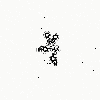 O=C1O[C@H]([C@H](CO)OP(=O)(OCc2ccccc2)OCc2ccccc2)C(OCc2ccc3[nH]ncc3c2)=C1OCc1ccc2[nH]ncc2c1